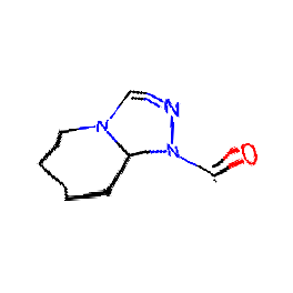 O=[C]N1N=CN2CCCCC21